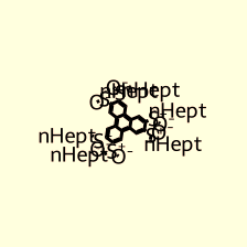 CCCCCCC[S+]([O-])c1cc2c3cc([S+]([O-])CCCCCCC)c([S+]([O-])CCCCCCC)cc3c3cc([S+]([O-])CCCCCCC)c([S+]([O-])CCCCCCC)cc3c2cc1[S+]([O-])CCCCCCC